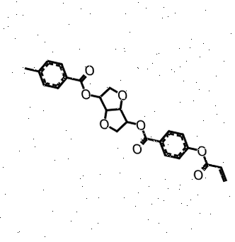 C=CC(=O)Oc1ccc(C(=O)OC2COC3C(OC(=O)c4ccc(C)cc4)COC23)cc1